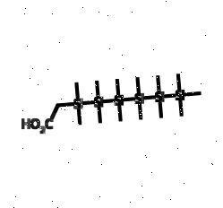 C[Si](C)(C)[Si](C)(C)[Si](C)(C)[Si](C)(C)[Si](C)(C)[Si](C)(C)CC(=O)O